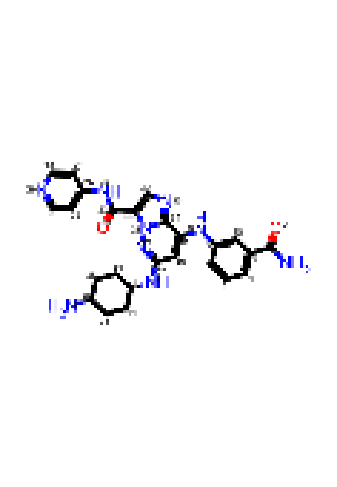 NC(=O)c1cccc(Nc2cc(N[C@H]3CC[C@H](N)CC3)nn3c(C(=O)Nc4ccncc4)cnc23)c1